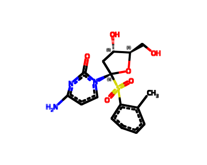 Cc1ccccc1S(=O)(=O)[C@]1(n2ccc(N)nc2=O)C[C@H](O)[C@@H](CO)O1